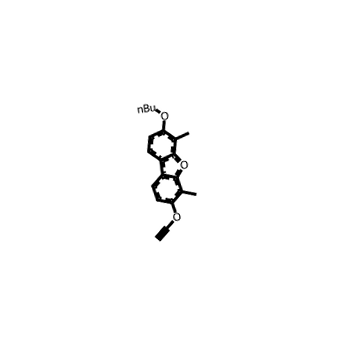 C#COc1ccc2c(oc3c(C)c(OCCCC)ccc32)c1C